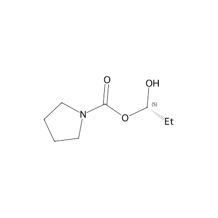 CC[C@@H](O)OC(=O)N1CCCC1